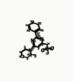 C[C@H]1COCCN1c1cc(CS(C)(=O)=O)nc(C2=CC[CH]C=C2)n1